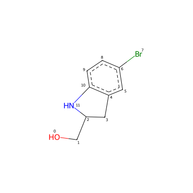 OCC1Cc2cc(Br)ccc2N1